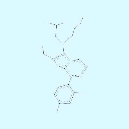 CCc1nc2c(-c3ccc(Cl)cc3Cl)nccn2c1N(CCCF)CC(C)C